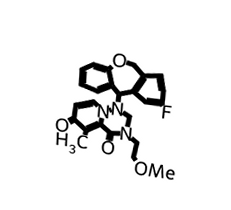 COCCN1CN(C2c3cc(F)ccc3COc3ccccc32)n2ccc(=O)c(C)c2C1=O